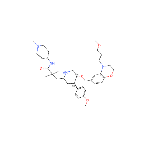 COCCCN1CCOc2ccc(CO[C@H]3CNC(CC(C)(C)C(=O)NC4CCN(C)CC4)C[C@@H]3c3ccc(OC)cc3)cc21